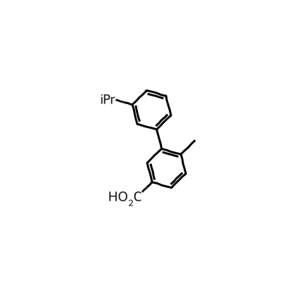 Cc1ccc(C(=O)O)cc1-c1cccc(C(C)C)c1